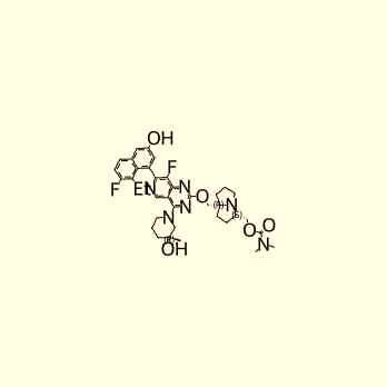 CCc1c(F)ccc2cc(O)cc(-c3ncc4c(N5CCC[C@@](C)(O)C5)nc(OC[C@]56CCCN5[C@H](COC(=O)N(C)C)CC6)nc4c3F)c12